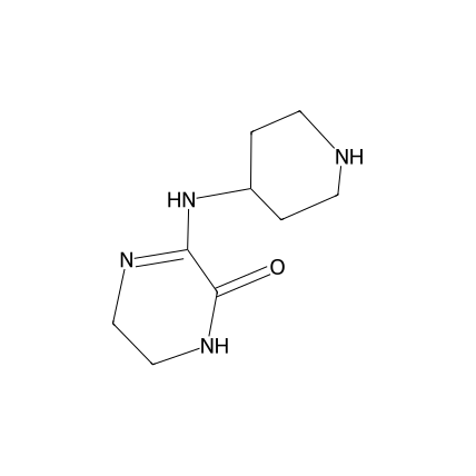 O=C1NCCN=C1NC1CCNCC1